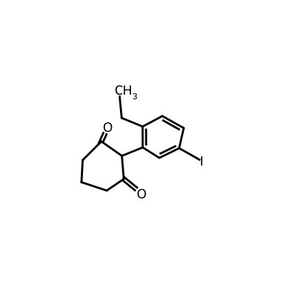 CCc1ccc(I)cc1C1C(=O)CCCC1=O